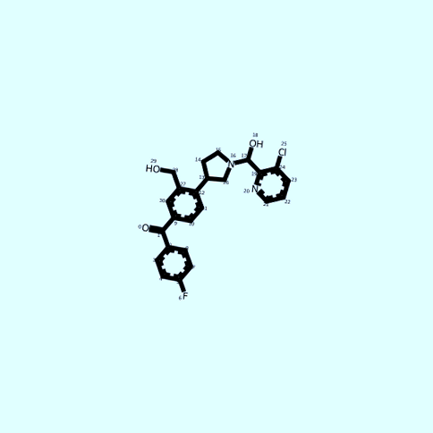 O=C(c1ccc(F)cc1)c1ccc(C2CCN(C(O)c3ncccc3Cl)C2)c(CO)c1